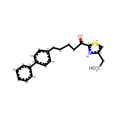 O=C(O)Cc1csc(C(=O)CCCCc2ccc(-c3ccccc3)cc2)n1